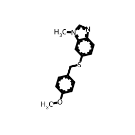 COc1ccc(CSc2ccc3ncn(C)c3c2)cc1